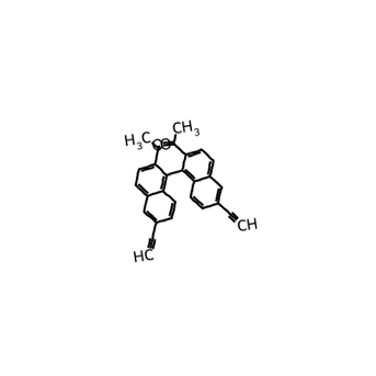 C#Cc1ccc2c(-c3c(C(C)=O)ccc4cc(C#C)ccc34)c(C(C)=O)ccc2c1